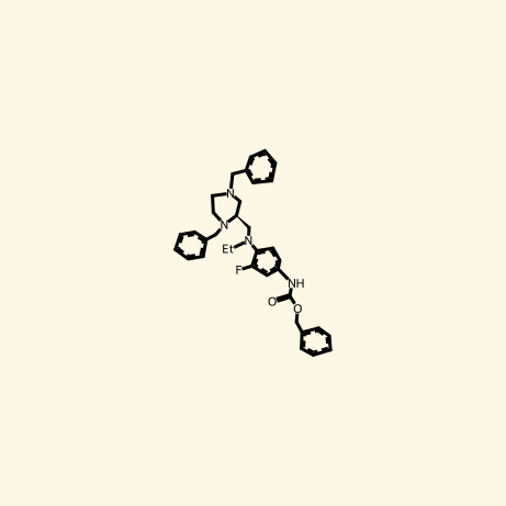 CCN(C[C@@H]1CN(Cc2ccccc2)CCN1Cc1ccccc1)c1ccc(NC(=O)OCc2ccccc2)cc1F